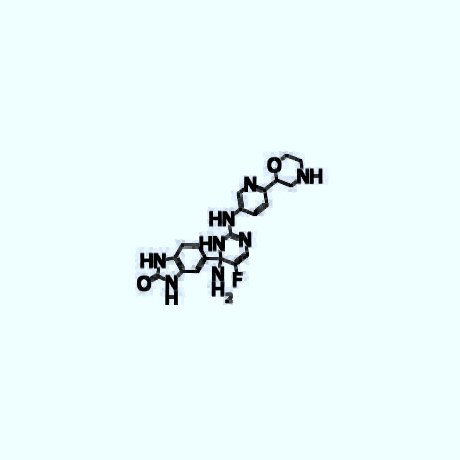 NC1(c2ccc3[nH]c(=O)[nH]c3c2)NC(Nc2ccc(C3CNCCO3)nc2)=NC=C1F